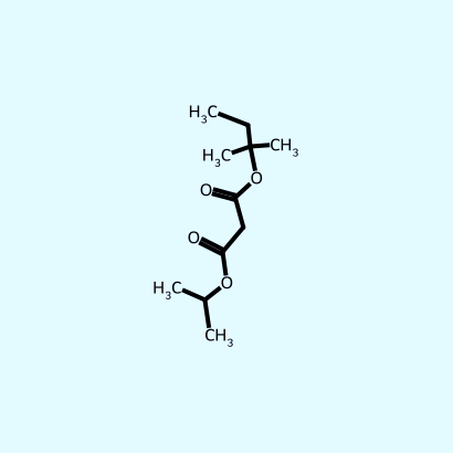 CCC(C)(C)OC(=O)CC(=O)OC(C)C